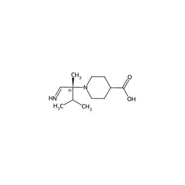 CC(C)[C@](C)(C=N)N1CCC(C(=O)O)CC1